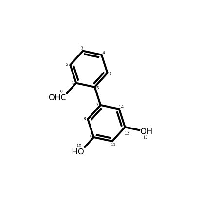 O=Cc1ccccc1-c1cc(O)cc(O)c1